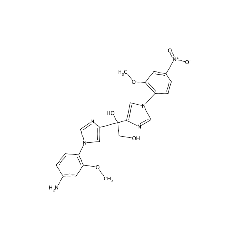 COc1cc(N)ccc1-n1cnc(C(O)(CO)c2cn(-c3ccc([N+](=O)[O-])cc3OC)cn2)c1